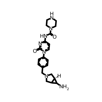 NC1C2CN(Cc3ccc(-n4ccc(NC(=O)N5CCNCC5)nc4=O)cc3)C[C@@H]12